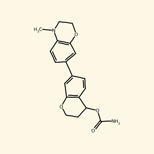 CN1CCOc2cc(-c3ccc4c(c3)OCCC4OC(N)=O)ccc21